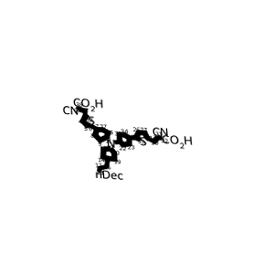 [C-]#[N+]/C(=C\c1ccc(-c2ccc(N(c3ccc(CCCCCCCCCCCC)cc3)c3ccc(-c4ccc(/C=C(\C#N)C(=O)O)s4)cc3)cc2)s1)C(=O)O